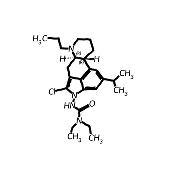 CCCN1CCC[C@@H]2c3cc(C(C)C)cc4c3c(c(Cl)n4NC(=O)N(CC)CC)C[C@H]21